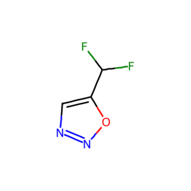 FC(F)c1cnno1